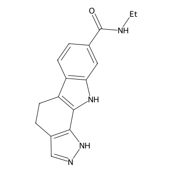 CCNC(=O)c1ccc2c3c([nH]c2c1)-c1[nH]ncc1CC3